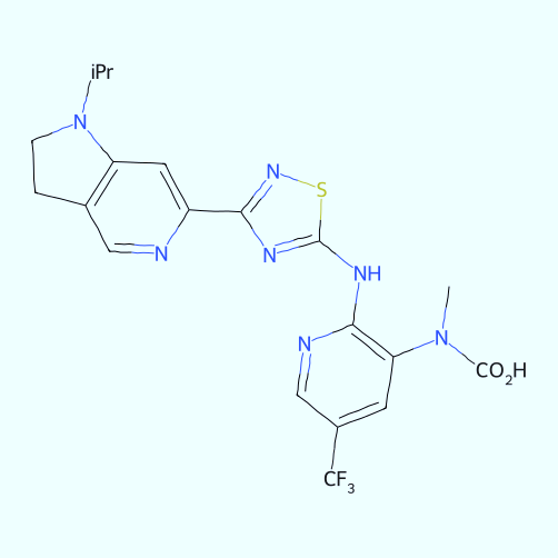 CC(C)N1CCc2cnc(-c3nsc(Nc4ncc(C(F)(F)F)cc4N(C)C(=O)O)n3)cc21